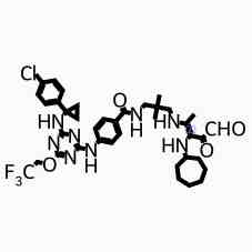 C/C(NCC(C)(C)CNC(=O)c1ccc(Nc2nc(NC3(c4ccc(Cl)cc4)CC3)nc(OCC(F)(F)F)n2)cc1)=C(/NC1CCCCCC1)C(=O)C=O